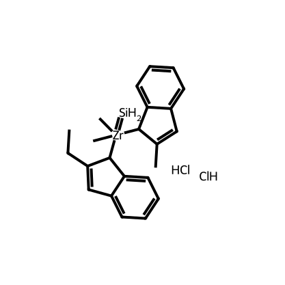 CCC1=Cc2ccccc2[CH]1[Zr]([CH3])([CH3])(=[SiH2])[CH]1C(C)=Cc2ccccc21.Cl.Cl